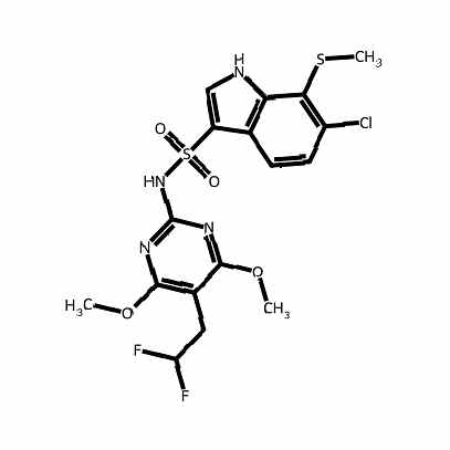 COc1nc(NS(=O)(=O)c2c[nH]c3c(SC)c(Cl)ccc23)nc(OC)c1CC(F)F